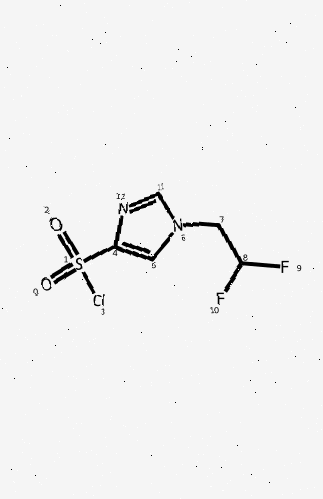 O=S(=O)(Cl)c1cn(CC(F)F)cn1